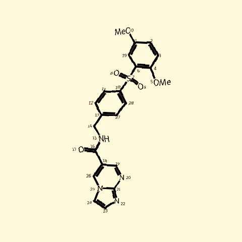 COc1ccc(OC)c(S(=O)(=O)c2ccc(CNC(=O)c3cnc4nccn4c3)cc2)c1